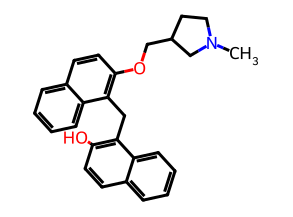 CN1CCC(COc2ccc3ccccc3c2Cc2c(O)ccc3ccccc23)C1